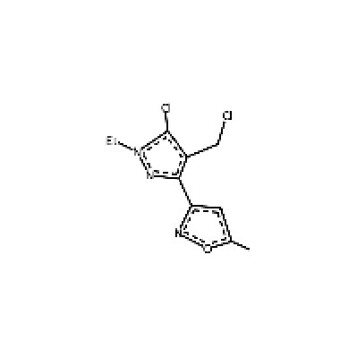 CCn1nc(-c2cc(C)on2)c(CCl)c1Cl